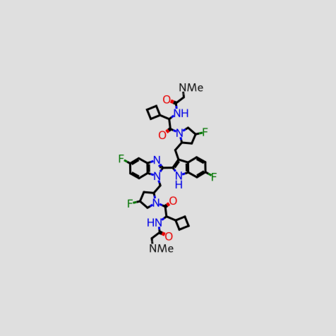 CNCC(=O)NC(C(=O)N1CC(F)CC1Cc1c(-c2nc3cc(F)ccc3n2CC2CC(F)CN2C(=O)C(NC(=O)CNC)C2CCC2)[nH]c2cc(F)ccc12)C1CCC1